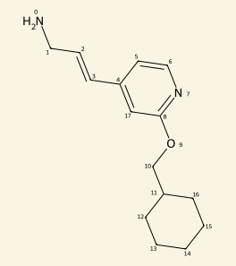 NC/C=C/c1ccnc(OCC2CCCCC2)c1